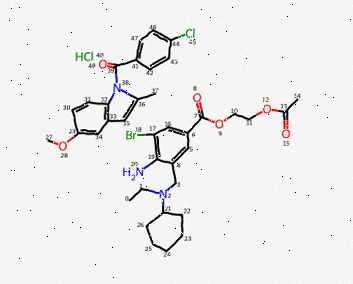 CCN(Cc1cc(C(=O)OCCOC(C)=O)cc(Br)c1N)C1CCCCC1.COc1ccc2c(c1)cc(C)n2C(=O)c1ccc(Cl)cc1.Cl